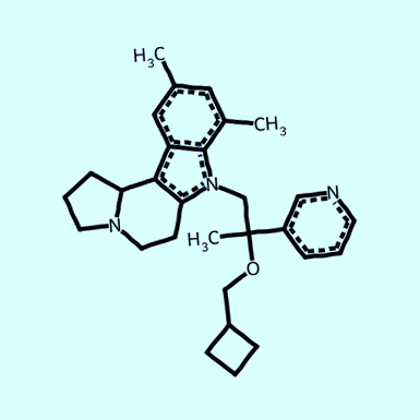 Cc1cc(C)c2c(c1)c1c(n2CC(C)(OCC2CCC2)c2cccnc2)CCN2CCCC12